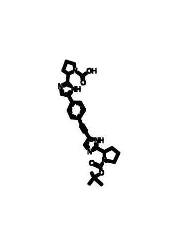 CC(C)(C)OC(=O)N1CCCC1c1ncc(C#Cc2ccc(-c3cnc(C4CCCN4C(=O)O)[nH]3)cc2)[nH]1